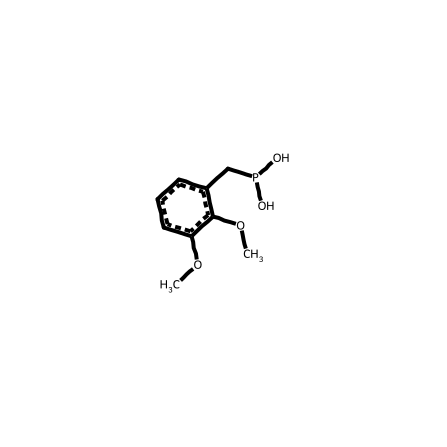 COc1cccc(CP(O)O)c1OC